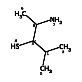 CC(C)[C](S)C(C)N